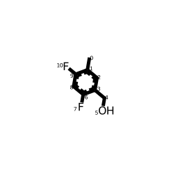 Cc1cc(CO)c(F)cc1F